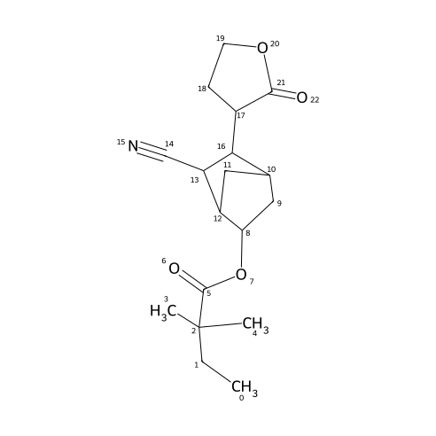 CCC(C)(C)C(=O)OC1CC2CC1C(C#N)C2C1CCOC1=O